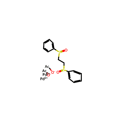 CC(=O)[O-].CC(=O)[O-].O=S(CCS(=O)c1ccccc1)c1ccccc1.[Pd+2].[Pd+2]